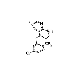 FC(F)(F)c1ccc(Cl)cc1CN1CCNc2ncc(I)cc21